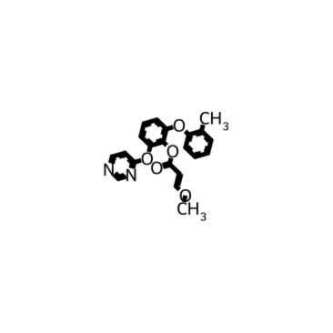 COC=CC(=O)Oc1c(Oc2ccncn2)cccc1Oc1ccccc1C